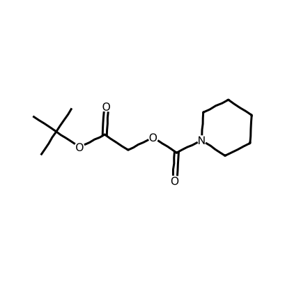 CC(C)(C)OC(=O)COC(=O)N1CCCCC1